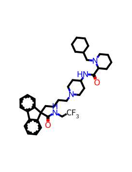 O=C(NC1CCN(CCCCC2(C(=O)NCC(F)(F)F)c3ccccc3-c3ccccc32)CC1)C1CCCCN1CC1CCCCC1